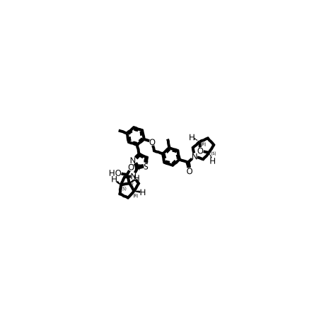 Cc1ccc(OCc2ccc(C(=O)N3C[C@H]4CC[C@@H](C3)O4)cc2C)c(-c2csc(N3C[C@H]4CC[C@@H](C3)[C@H]4C(O)O)n2)c1